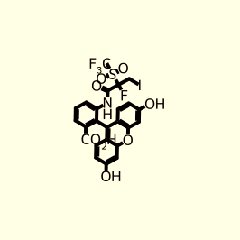 O=C(O)c1cccc(NC(=O)C(F)(CI)S(=O)(=O)C(F)(F)F)c1C1=C2C=CC(O)=CC2Oc2cc(O)ccc21